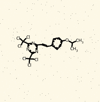 CC(C)Oc1ccc(C=Cc2nc(C(Cl)(Cl)Cl)nc(C(Cl)(Cl)Cl)n2)cc1